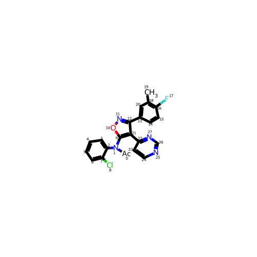 CC(=O)N(c1ccccc1Cl)c1onc(-c2ccc(F)c(C)c2)c1-c1ccncn1